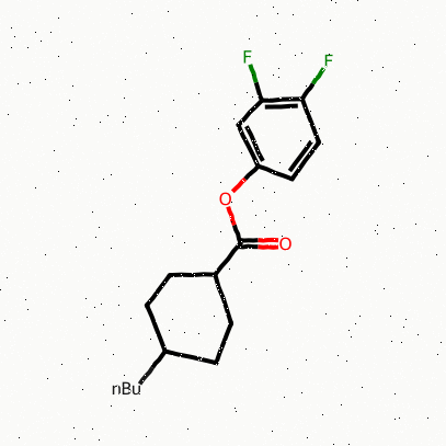 CCCCC1CCC(C(=O)Oc2ccc(F)c(F)c2)CC1